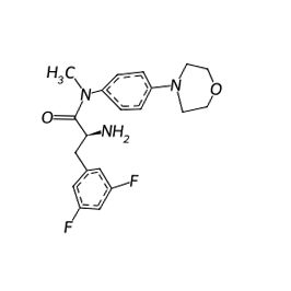 CN(C(=O)[C@@H](N)Cc1cc(F)cc(F)c1)c1ccc(N2CCOCC2)cc1